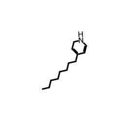 CCCCCCCCC1=CCNC=C1